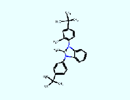 [CH2-][c+]1n(-c2ccc(C(C)(C)C)cc2)c2ccccc2n1-c1ccc(C(C)(C)C)cc1C